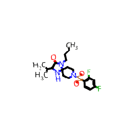 CCCCN1C(=O)C(C(C)C)NC12CCN(S(=O)(=O)c1ccc(F)cc1F)CC2